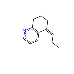 CC/C=C1/CCCc2ncccc21